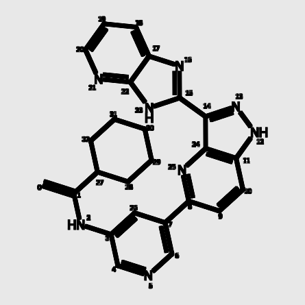 C=C(Nc1cncc(-c2ccc3[nH]nc(-c4nc5cccnc5[nH]4)c3n2)c1)C1CCCCC1